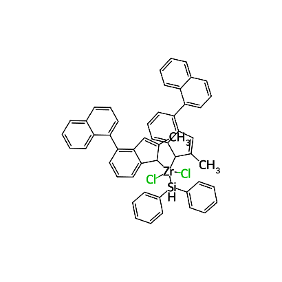 CC1=Cc2c(-c3cccc4ccccc34)cccc2[CH]1[Zr]([Cl])([Cl])([CH]1C(C)=Cc2c(-c3cccc4ccccc34)cccc21)[SiH](c1ccccc1)c1ccccc1